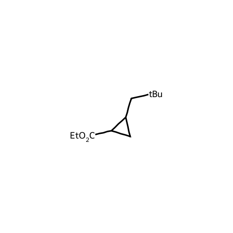 CCOC(=O)C1CC1CC(C)(C)C